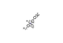 Cc1ccc(/N=C(/c2ncc(-c3ccc(OC(F)(F)F)cc3)cc2C)N2CCOCC2)nc1